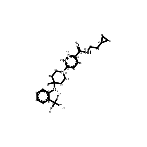 CC1(Oc2ccccc2C(F)(F)F)CCN(c2ccc(C(=O)NCCC3CC3)nn2)CC1